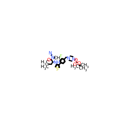 CC(C)CC(Nc1cscc1-c1ccc(CN2CCN(OC(=O)OC(C)(C)C)CC2)c(F)c1)C(=O)N(C)C#N